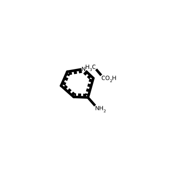 CC(=O)O.Nc1cccnc1